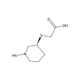 O=C(O)CS[C@H]1CCCN(S)C1